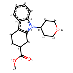 COC(=O)C1CCc2c(n(C3CCOCC3)c3ccccc23)C1